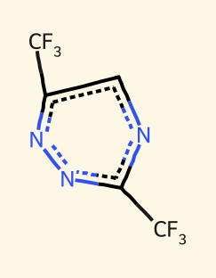 FC(F)(F)c1cnc(C(F)(F)F)nn1